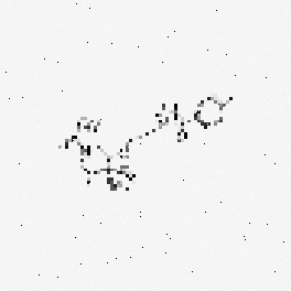 Cc1ccc(S(=O)(=O)OCCOC2CN(C(=O)O)CC(C)C2(F)F)cc1